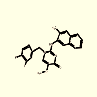 COc1cn(Cc2ccc(F)c(F)c2)c(Nc2cc3ncccc3cc2C)nc1=O